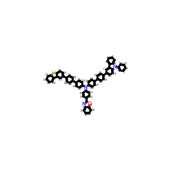 c1ccc(-n2c3ccccc3c3cc(-c4ccc(-c5ccc(N(c6ccc(-c7ccc(-c8ccc9sc%10ccccc%10c9c8)cc7)cc6)c6ccc(-c7nc8ccccc8o7)cc6)cc5)cc4)ccc32)cc1